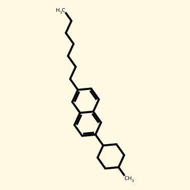 CCCCCCCc1ccc2cc(C3CCC(C)CC3)ccc2c1